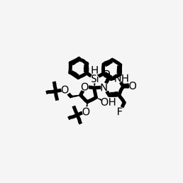 CC(C)(C)OC[C@H]1O[C@](n2cc(CF)c(=O)[nH]c2=O)([SiH](c2ccccc2)c2ccccc2)[C@H](O)[C@@H]1OC(C)(C)C